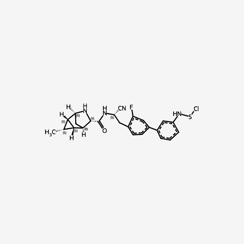 C[C@H]1[C@H]2[C@H]3C[C@H](N[C@@H]3C(=O)N[C@H](C#N)Cc3ccc(-c4cccc(NSCl)c4)cc3F)[C@@H]12